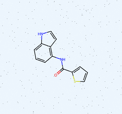 O=C(Nc1cccc2[nH]ccc12)c1cccs1